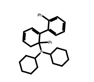 CC(C)c1ccccc1C1=CC=CCC1(C(C)C)P(C1CCCCC1)C1CCCCC1